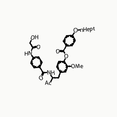 CCCCCCCOc1ccc(C(=O)Oc2ccc(CC(NC(=O)c3ccc(NC(=O)CO)cc3)C(C)=O)cc2OC)cc1